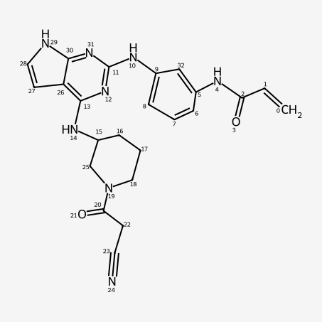 C=CC(=O)Nc1cccc(Nc2nc(NC3CCCN(C(=O)CC#N)C3)c3cc[nH]c3n2)c1